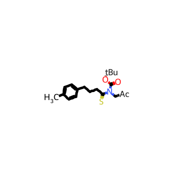 CC(=O)CN(C(=O)OC(C)(C)C)C(=S)CCCc1ccc(C)cc1